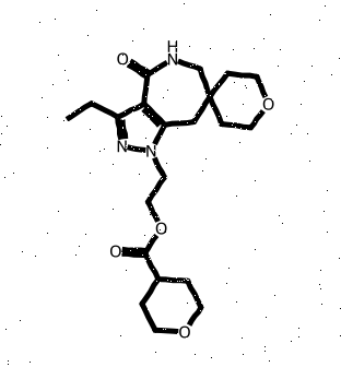 CCc1nn(CCOC(=O)C2CCOCC2)c2c1C(=O)NCC1(CCOCC1)C2